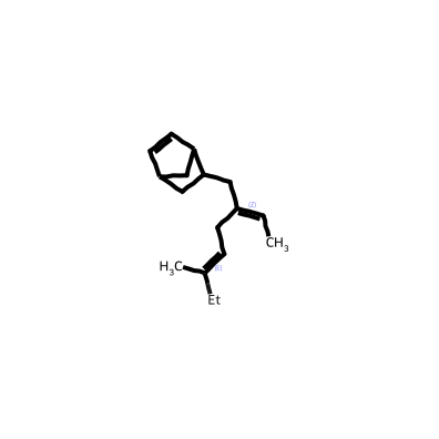 C/C=C(\C/C=C(\C)CC)CC1CC2C=CC1C2